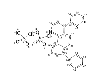 O=S(=O)(O)Cl.O=S(=O)(O)Cl.c1ccc(-c2ccnc3c2ccc2c(-c4ccccc4)ccnc23)cc1